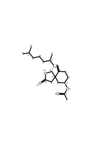 C=C1CC[C@@H](OC(C)=O)CC12CC(=O)O[C@@H]2CC(C)CCCC(C)C